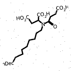 CCCCCCCCCCCCCCCCCCN(C(=O)CCC(=O)O)C(CC(=O)O)C(=O)O